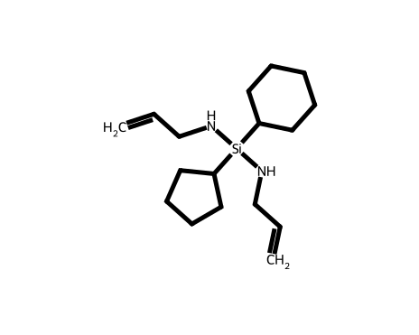 C=CCN[Si](NCC=C)(C1CCCCC1)C1CCCC1